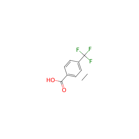 CC.O=C(O)c1ccc(C(F)(F)F)cc1